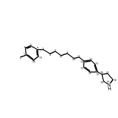 Cc1ccc(CCCCCCCc2ccc(C3CCNC3)cc2)cc1